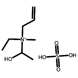 C=CC[N+](C)(CC)C(C)O.O=S(=O)(O)O